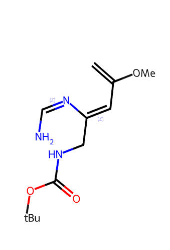 C=C(/C=C(CNC(=O)OC(C)(C)C)\N=C/N)OC